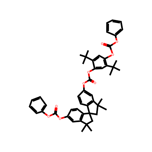 CC(C)(C)c1cc(OC(=O)Oc2ccc3c(c2)C(C)(C)CC32CC(C)(C)c3cc(OC(=O)Oc4ccccc4)ccc32)c(C(C)(C)C)cc1OC(=O)Oc1ccccc1